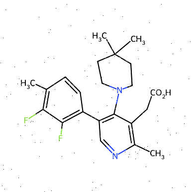 Cc1ccc(-c2cnc(C)c(CC(=O)O)c2N2CCC(C)(C)CC2)c(F)c1F